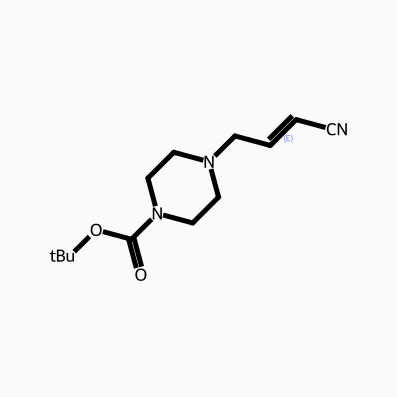 CC(C)(C)OC(=O)N1CCN(C/C=C/C#N)CC1